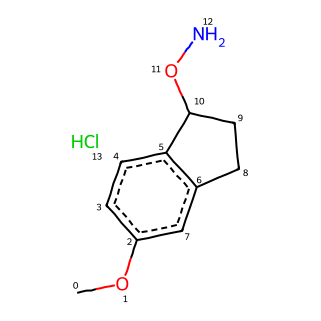 COc1ccc2c(c1)CCC2ON.Cl